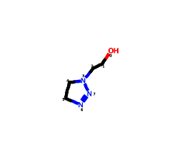 OCCN1CCN=N1